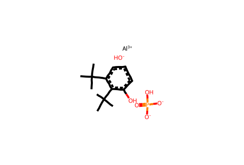 CC(C)(C)c1cccc(O)c1C(C)(C)C.O=P([O-])([O-])O.[Al+3].[OH-]